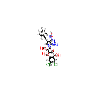 CO/N=c1\nc[nH]c2c1c(C#C[Si](C(C)C)(C(C)C)C(C)C)cn2[C@@H]1O[C@H](C(O)c2ccc(Cl)c(Cl)c2)[C@@H](O)[C@H]1O